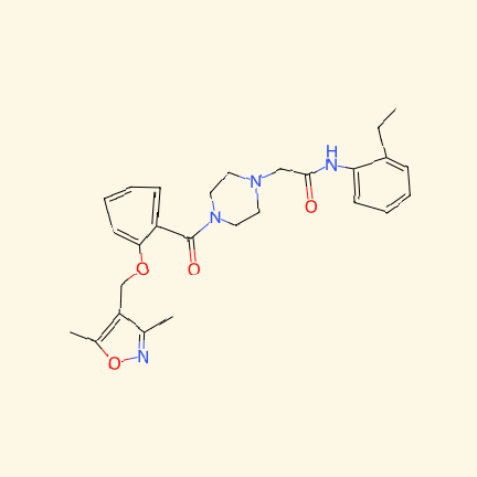 CCc1ccccc1NC(=O)CN1CCN(C(=O)c2ccccc2OCc2c(C)noc2C)CC1